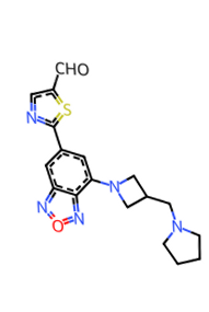 O=Cc1cnc(-c2cc(N3CC(CN4CCCC4)C3)c3nonc3c2)s1